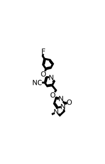 CN1CCn2c1cc(OCc1cnc(Oc3cccc(CF)c3)c(C#N)c1)nc2=O